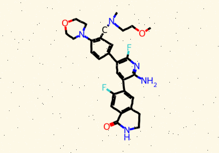 COCCN(C)Cc1cc(-c2cc(-c3cc4c(cc3F)C(=O)NCC4)c(N)nc2F)ccc1N1CCOCC1